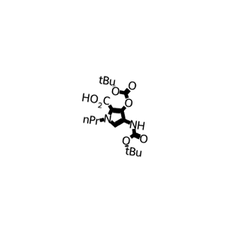 CCCn1cc(NC(=O)OC(C)(C)C)c(OC(=O)OC(C)(C)C)c1C(=O)O